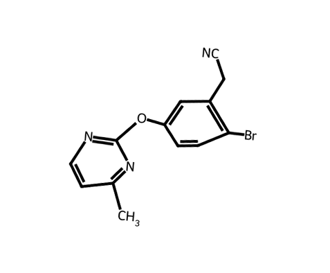 Cc1ccnc(Oc2ccc(Br)c(CC#N)c2)n1